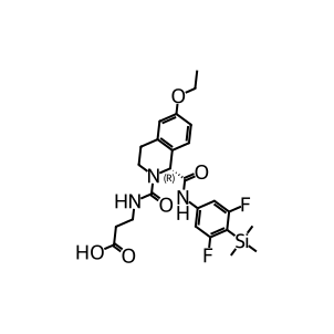 CCOc1ccc2c(c1)CCN(C(=O)NCCC(=O)O)[C@H]2C(=O)Nc1cc(F)c([Si](C)(C)C)c(F)c1